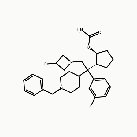 NC(=O)O[C@H]1CCC[C@@H]1C(CN1CC(F)C1)(c1cccc(F)c1)C1CCN(Cc2ccccc2)CC1